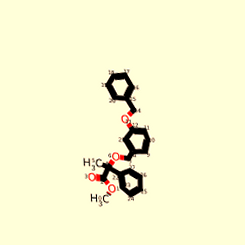 COC(=O)C(C)(OCc1cccc(OCc2ccccc2)c1)c1ccccc1